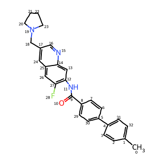 Cc1ccc(-c2ccc(C(=O)Nc3cc4ncc(CN5CCCC5)cc4cc3F)cc2)cc1